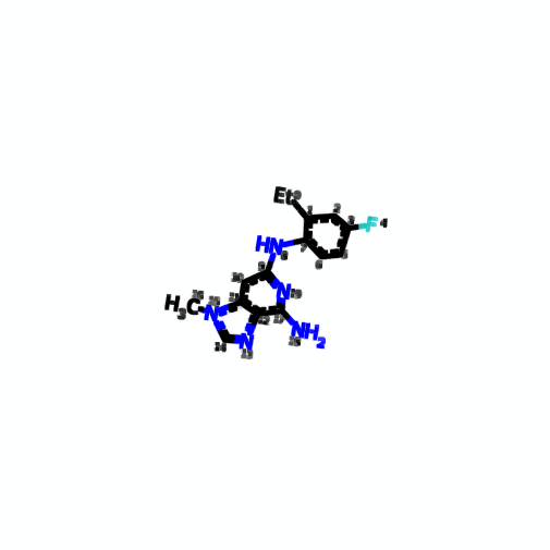 CCc1cc(F)ccc1Nc1cc2c(ncn2C)c(N)n1